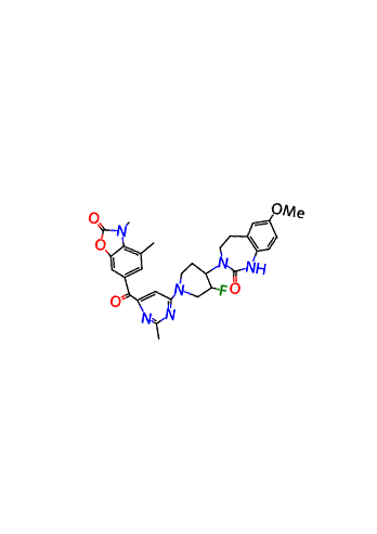 COc1ccc2c(c1)CCN(C1CCN(c3cc(C(=O)c4cc(C)c5c(c4)oc(=O)n5C)nc(C)n3)CC1F)C(=O)N2